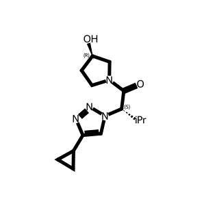 CC(C)[C@@H](C(=O)N1CC[C@@H](O)C1)n1cc(C2CC2)nn1